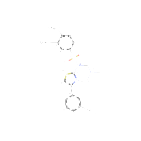 COc1ccc(S(=O)(=O)N(CN(C)C)c2nc(-c3cccc([N+](=O)[O-])c3)cs2)cc1OC